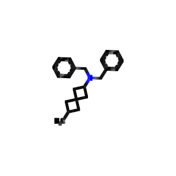 CC1CC2(C1)CC(N(Cc1ccccc1)Cc1ccccc1)C2